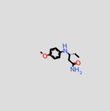 CC[C@H](CC(N)=O)Nc1ccc(OC)cc1